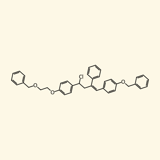 ClC(CC(=Cc1ccc(OCc2ccccc2)cc1)c1ccccc1)c1ccc(OCCOCc2ccccc2)cc1